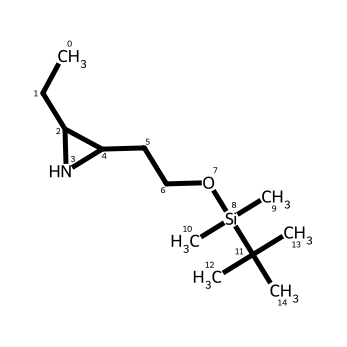 CCC1NC1CCO[Si](C)(C)C(C)(C)C